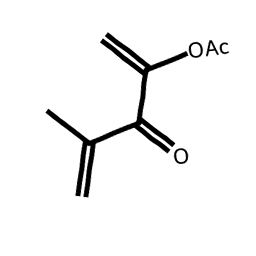 C=C(C)C(=O)C(=C)OC(C)=O